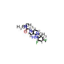 Cc1cc(F)cc(F)c1Nc1nccc2c1ccn2CC(=O)N(C)C